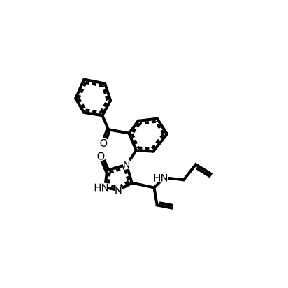 C=CCNC(C=C)c1n[nH]c(=O)n1-c1ccccc1C(=O)c1ccccc1